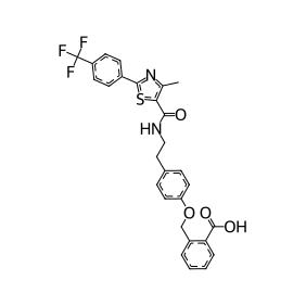 Cc1nc(-c2ccc(C(F)(F)F)cc2)sc1C(=O)NCCc1ccc(OCc2ccccc2C(=O)O)cc1